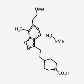 CNC.COCCc1ccc2c(CCC3CCN(C(=O)O)CC3)noc2c1C